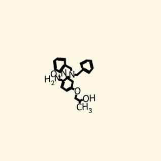 CC(O)COC1=CC=C(N)C(N(Cc2ccccc2)Cc2ccccc2)([N+](=O)[O-])C1